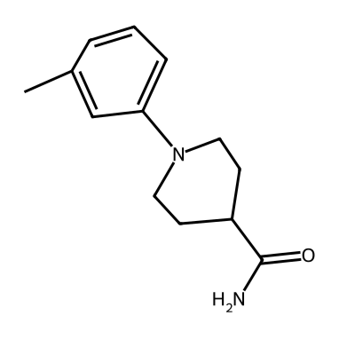 Cc1cccc(N2CCC(C(N)=O)CC2)c1